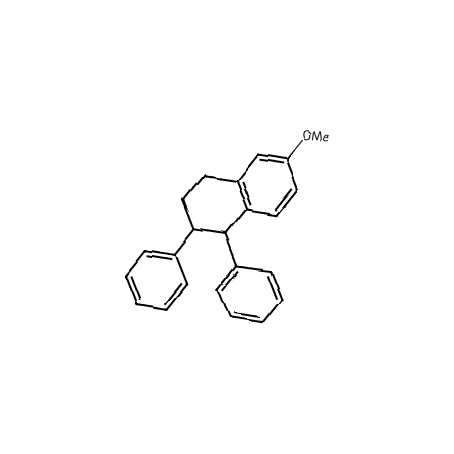 COc1ccc2c(c1)CCC(c1ccccc1)C2c1ccccc1